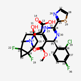 COC(=O)C1=C(CN2C3CC(O)(CC(=O)O)CC2C2(F)CC32F)NC(c2nccs2)=N[C@H]1c1ccc(F)cc1Cl